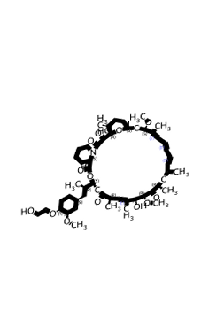 CO[C@H]1C[C@@H]2CC[C@@H](C)[C@@](O)(O2)C(=O)C(=O)N2CCCC[C@H]2C(=O)O[C@H]([C@H](C)C[C@@H]2CC[C@@H](OCCO)[C@H](OC)C2)CC(=O)[C@H](C)/C=C(\C)[C@@H](O)[C@@H](OC)C(=O)[C@H](C)CC(C)/C=C/C=C/C=C/1C